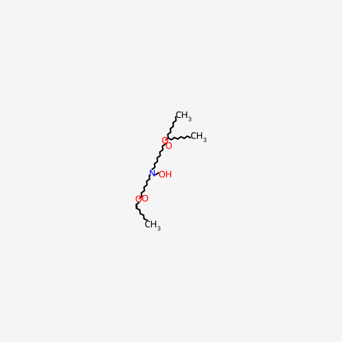 CCCCCC/C=C\COC(=O)CCCCCCCN(CCO)CCCCCCCCCC(=O)OC(CCCCCCCC)CCCCCCCC